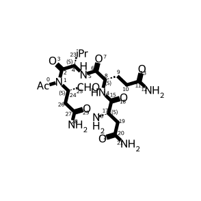 CC(=O)N(C(=O)[C@@H](NC(=O)[C@H](CCC(N)=O)NC(=O)[C@@H](N)CC(N)=O)C(C)C)[C@H](C=O)CC(N)=O